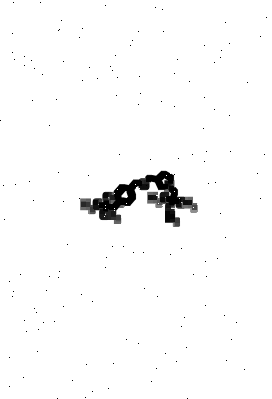 CC(C)(C)Cc1ccc(COCC2CCN(CC(C)(C)C)C2)cc1